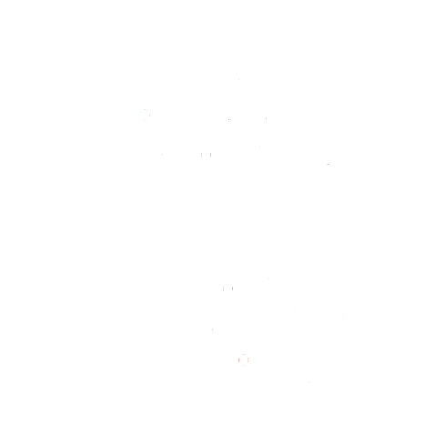 C=C(C)C(=O)OC1(C(C)C)C2CC3CC(C2)CC1C3.C=CC(=O)OC1(CC)C2CC3CC(C2)CC1C3